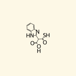 O=C(O)C(C(=O)S)c1nc2ccccc2[nH]1